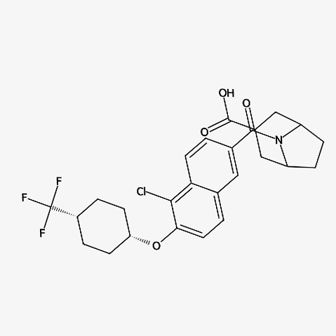 O=C(O)C1CC2CCC(C1)N2C(=O)c1ccc2c(Cl)c(O[C@H]3CC[C@@H](C(F)(F)F)CC3)ccc2c1